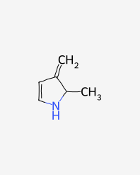 C=C1C=CNC1C